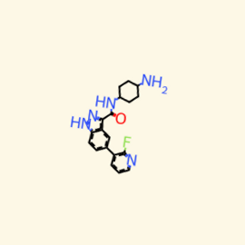 NC1CCC(NC(=O)c2n[nH]c3ccc(-c4cccnc4F)cc23)CC1